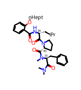 CCCCCCCOc1ccccc1C(=O)N[C@H](CC(C)C)C(=O)N1CCC[C@@H]1C(=O)N(C)[C@@H](Cc1ccccc1)C(=O)N(C)C